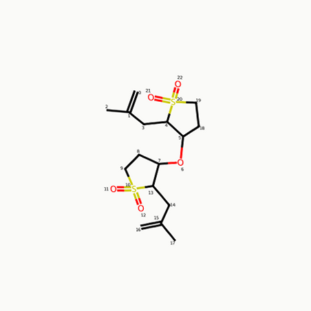 C=C(C)CC1C(OC2CCS(=O)(=O)C2CC(=C)C)CCS1(=O)=O